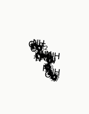 CS(=O)(=O)C(N)c1cc(F)cc(-c2ccnc3[nH]c(-c4n[nH]c5ncc(-c6cncc(NC(=O)c7ccccc7)c6)cc45)nc23)c1